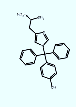 N[C@@H](Cc1cn(C(c2ccccc2)(c2ccccc2)c2ccc(O)cc2)cn1)C(=O)O